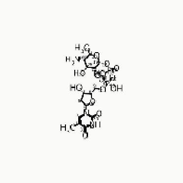 Cc1cn([C@H]2C[C@H](O)[C@@H](COP(=O)(O)OP(=O)(O)O[C@H]3O[C@H](C)[C@@H](N)[C@H](O)[C@H]3O)O2)c(=O)[nH]c1=O